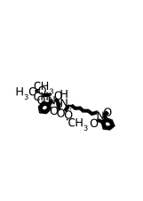 CCOC(=O)[C@H](CCCCCCCN1C(=O)c2ccccc2C1=O)N[C@H]1COc2ccccc2N(CC(=O)OC(C)(C)C)C1=O